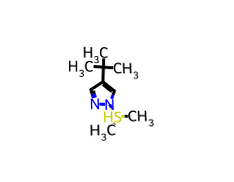 C[SH](C)n1cc(C(C)(C)C)cn1